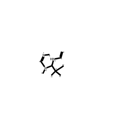 C=CNC(N(C)/C=N\C)C(C)(C)C